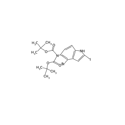 CC(C)(C)OC(=O)N(C(=O)OC(C)(C)C)c1ccc2[nH]c(I)cc2c1Br